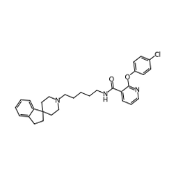 O=C(NCCCCCN1CCC2(CCc3ccccc32)CC1)c1cccnc1Oc1ccc(Cl)cc1